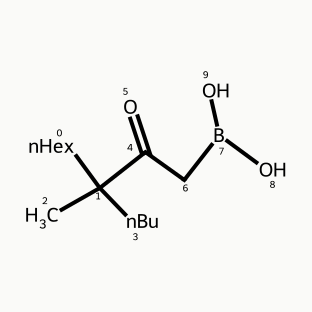 CCCCCCC(C)(CCCC)C(=O)CB(O)O